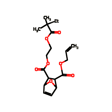 C=CCOC(=O)C1C2C=CC(O2)C1C(=O)OCCOC(=O)C(C)(C)CC